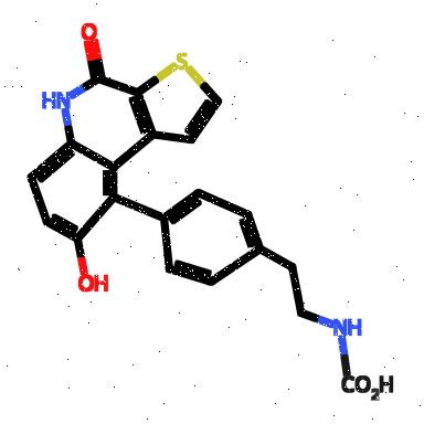 O=C(O)NCCc1ccc(-c2c(O)ccc3[nH]c(=O)c4sccc4c23)cc1